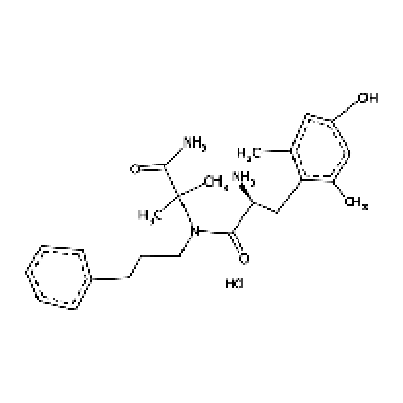 Cc1cc(O)cc(C)c1C[C@H](N)C(=O)N(CCCc1ccccc1)C(C)(C)C(N)=O.Cl